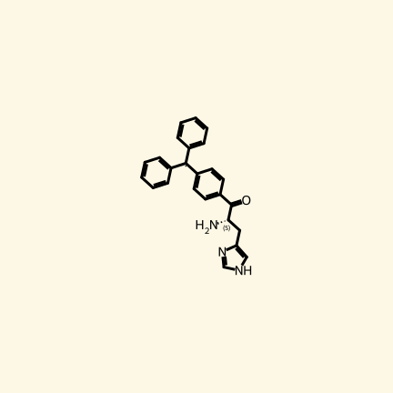 N[C@@H](Cc1c[nH]cn1)C(=O)c1ccc([C](c2ccccc2)c2ccccc2)cc1